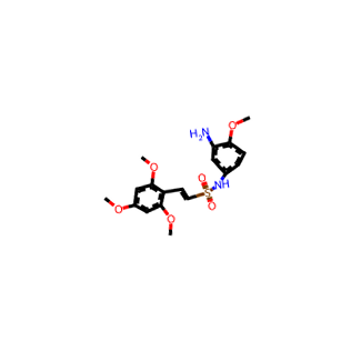 COc1cc(OC)c(C=CS(=O)(=O)Nc2ccc(OC)c(N)c2)c(OC)c1